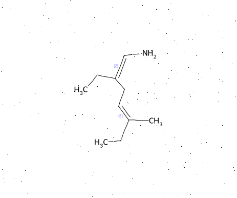 CC/C(=C/N)C/C=C(\C)CC